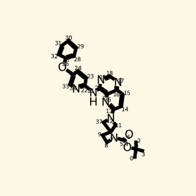 CC(C)(C)OC(=O)N1CCC12CN(c1ccc3ncnc(Nc4ccc(Oc5ccccc5)cn4)c3n1)C2